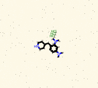 CN(C)c1ccc(CC2CCNCC2)c(N(C)C)c1.Cl.Cl.Cl